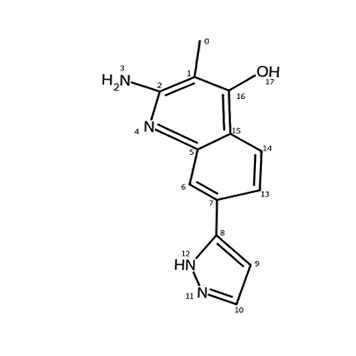 Cc1c(N)nc2cc(-c3ccn[nH]3)ccc2c1O